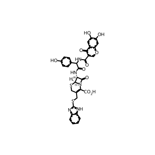 O=C(O)C1=C(CSc2nc3ccccc3[nH]2)CS[C@H]2[C@H](NC(=O)C(NC(=O)c3coc4cc(O)c(O)cc4c3=O)c3ccc(O)cc3)C(=O)N12